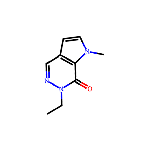 CCn1ncc2ccn(C)c2c1=O